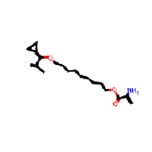 C=C(C)C(OCCCCCCCCCOC(=O)C(=C)N)=C1CC1